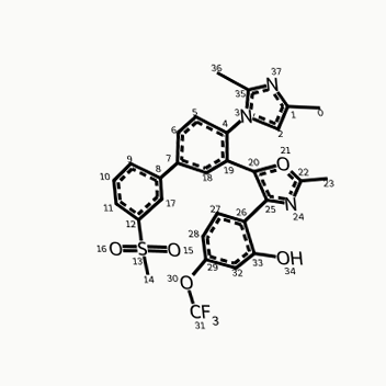 Cc1cn(-c2ccc(-c3cccc(S(C)(=O)=O)c3)cc2-c2oc(C)nc2-c2ccc(OC(F)(F)F)cc2O)c(C)n1